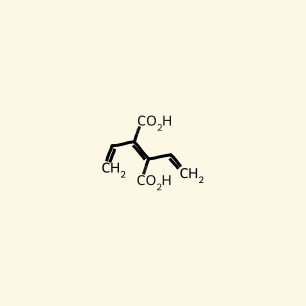 C=CC(C(=O)O)=C(C=C)C(=O)O